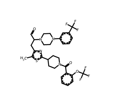 Cc1sc(C2CCN(C(=O)c3ccccc3OC(F)(F)F)CC2)nc1CC(C=O)N1CCN(c2cccc(C(F)(F)F)c2)CC1